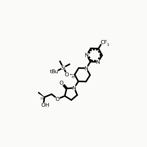 C[C@H](O)COC1CCN(C2CCN(c3ncc(C(F)(F)F)cn3)C[C@H]2O[Si](C)(C)C(C)(C)C)C1=O